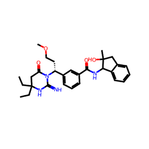 CCC1(CC)CC(=O)N([C@H](CCOC)c2cccc(C(=O)NC3c4ccccc4CC3(C)O)c2)C(=N)N1